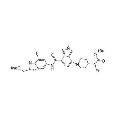 CCN(C(=O)OC(C)(C)C)C1CCN(c2ccc(C(=O)Nc3cc(F)c4nc(COC)cn4c3)c3nn(C)cc23)CC1